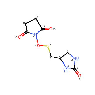 O=C1NCC(CSON2C(=O)CCC2=O)N1